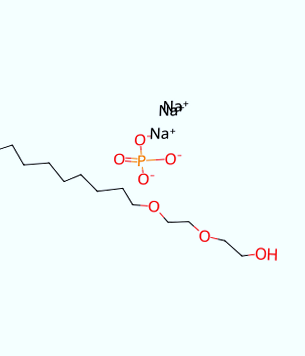 CCCCCCCCCOCCOCCO.O=P([O-])([O-])[O-].[Na+].[Na+].[Na+]